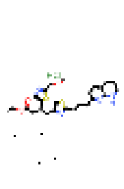 CCOC(=O)CC(Cc1csc(CCCc2ccc3c(n2)NCCC3)n1)c1cnc(COC)s1.Cl